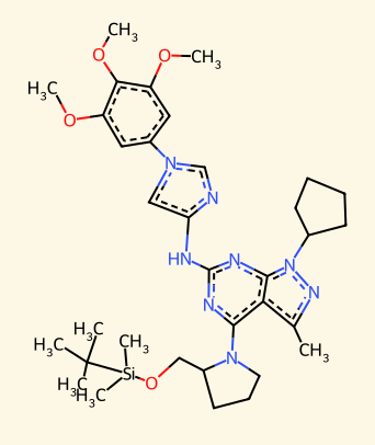 COc1cc(-n2cnc(Nc3nc(N4CCCC4CO[Si](C)(C)C(C)(C)C)c4c(C)nn(C5CCCC5)c4n3)c2)cc(OC)c1OC